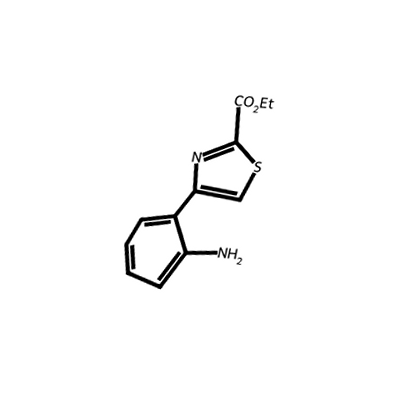 CCOC(=O)c1nc(-c2ccccc2N)cs1